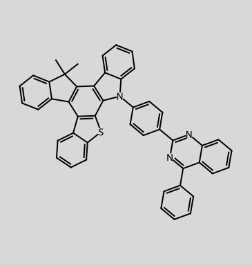 CC1(C)c2ccccc2-c2c1c1c3ccccc3n(-c3ccc(-c4nc(-c5ccccc5)c5ccccc5n4)cc3)c1c1sc3ccccc3c21